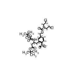 CC(C)(C)OC(=O)CC(Cc1cc(COC(=O)N(CCCl)CCCl)ccc1[N+](=O)[O-])NC(=O)OC(C)(C)C